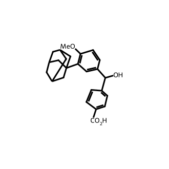 COc1ccc(C(O)c2ccc(C(=O)O)cc2)cc1C12CC3CC(CC(C3)C1)C2